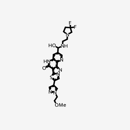 COCCn1cc(-c2cn3nc4c5ncc(C(O)NCCN6CCC(F)(F)C6)cc5[nH]c(=O)c4c3s2)cn1